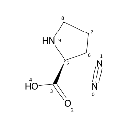 N#N.O=C(O)[C@@H]1CCCN1